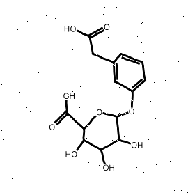 O=C(O)Cc1cccc(OC2OC(C(=O)O)C(O)C(O)C2O)c1